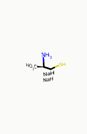 N[C@@H](CS)C(=O)O.[NaH].[NaH]